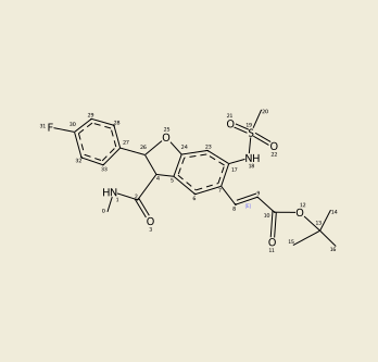 CNC(=O)C1c2cc(/C=C/C(=O)OC(C)(C)C)c(NS(C)(=O)=O)cc2OC1c1ccc(F)cc1